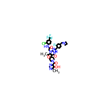 Cc1ncnc(C(=O)N2CCC3(CC2)OC(C)c2c3c(=O)n3nc(-c4ccc(CN5CCC5)cc4F)nc3n2CC(=O)Nc2ccc(C(F)(F)F)cc2Cl)c1O